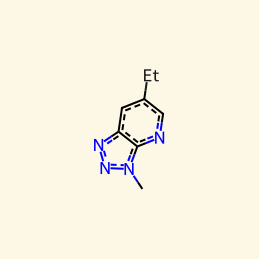 CCc1cnc2c(c1)nnn2C